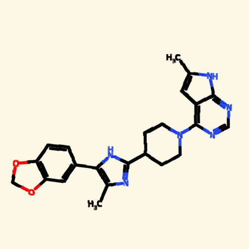 Cc1cc2c(N3CCC(c4nc(C)c(-c5ccc6c(c5)OCO6)[nH]4)CC3)ncnc2[nH]1